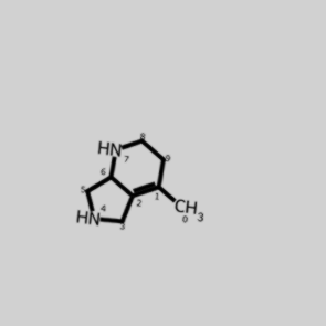 CC1=C2CNCC2NCC1